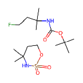 CC(C)(CCF)NC(=O)OC(C)(C)C.CC1(C)CCOS(=O)(=O)N1